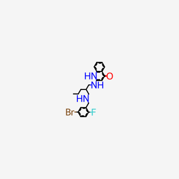 CCCC(CNCc1cc(Br)ccc1F)CNc1cc(=O)c2ccccc2[nH]1